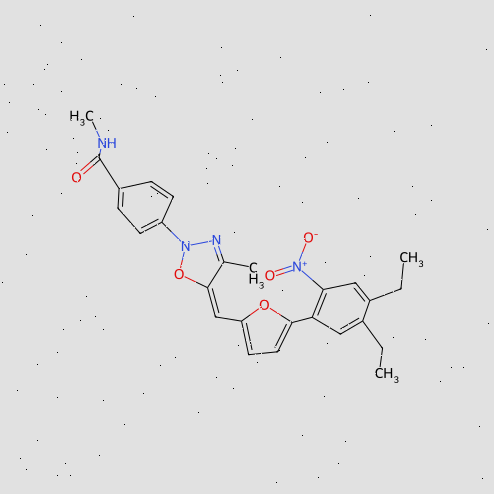 CCc1cc(-c2ccc(C=C3ON(c4ccc(C(=O)NC)cc4)N=C3C)o2)c([N+](=O)[O-])cc1CC